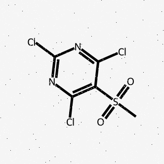 CS(=O)(=O)c1c(Cl)nc(Cl)nc1Cl